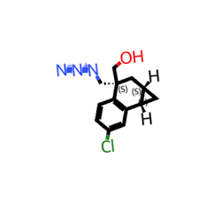 [N-]=[N+]=NC[C@]1(CO)C[C@@H]2C[C@@H]2c2cc(Cl)ccc21